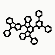 c1ccc(-c2cc(-c3cc4c(c5ccccc5n4-c4ccccc4)c4c3c3ccccc3n4-c3ccc4c(c3)c3ccccc3n4-c3ccccc3)nc(-c3ccccc3)n2)cc1